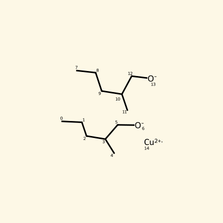 CCCC(C)C[O-].CCCC(C)C[O-].[Cu+2]